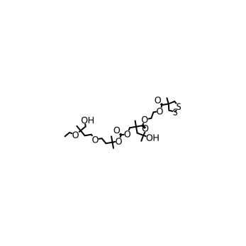 CCOC(C)(CO)CCOCCC(C)(C)OC(=O)OCC(C)(CC(C)(C)O)C(=O)OCCOC(=O)C1(C)CSSC1